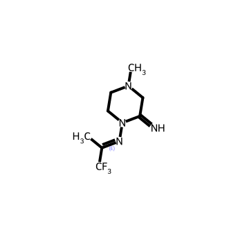 C/C(=N\N1CCN(C)CC1=N)C(F)(F)F